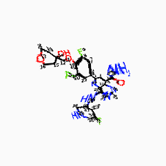 NC(=O)c1cc(-c2cc(F)c(OCC3(O)CCOCC3)c(F)c2)nc2c(N[C@@H]3CNC[C@@H](F)C3)ncnc12